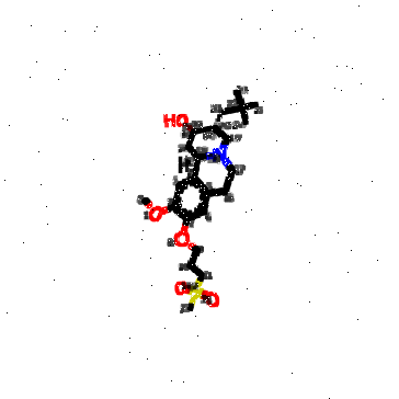 COc1cc2c(cc1OCCCS(C)(=O)=O)CCN1C[C@@H](CC(C)(C)C)[C@H](O)C[C@H]21